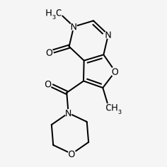 Cc1oc2ncn(C)c(=O)c2c1C(=O)N1CCOCC1